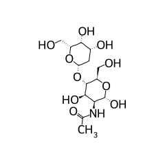 CC(=O)N[C@H]1[C@@H](O)[C@H](O[C@H]2C[C@@H](O)[C@@H](O)[C@@H](CO)O2)[C@@H](CO)O[C@@H]1O